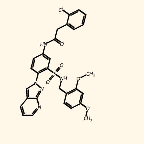 COc1ccc(CNS(=O)(=O)c2cc(NC(=O)Cc3ccccc3Cl)ccc2-n2cc3cccnc3n2)c(OC)c1